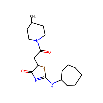 CC1CCN(C(=O)CC2SC(NC3CCCCCC3)=NC2=O)CC1